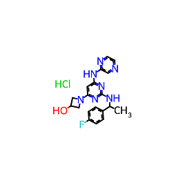 CC(Nc1nc(Nc2cnccn2)cc(N2CC(O)C2)n1)c1ccc(F)cc1.Cl